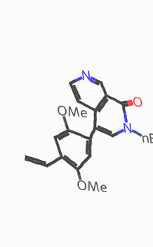 C=Cc1cc(OC)c(-c2cn(CCCC)c(=O)c3cnccc23)cc1OC